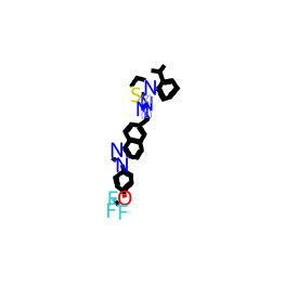 CC(C)c1ccccc1N1CCCS/C1=N\N=C\c1ccc2c(ccc3c2ncn3-c2ccc(OC(F)(F)F)cc2)c1